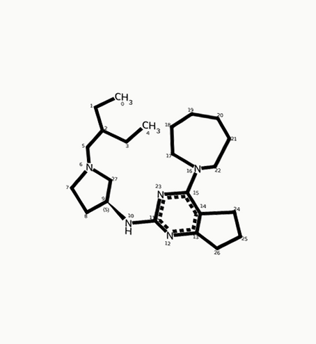 CCC(CC)CN1CC[C@H](Nc2nc3c(c(N4CCCCCC4)n2)CCC3)C1